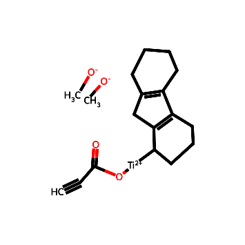 C#CC(=O)[O][Ti+2][CH]1CCCC2=C1CC1=C2CCCC1.C[O-].C[O-]